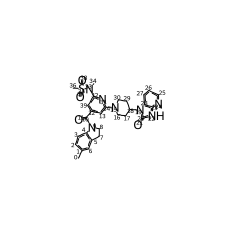 Cc1ccc2c(c1)CCN2C(=O)c1cc(N2CCC(n3c(=O)[nH]c4ncccc43)CC2)nc(N(C)S(C)(=O)=O)c1